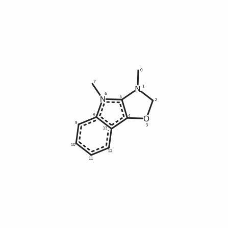 CN1COc2c1n(C)c1ccccc21